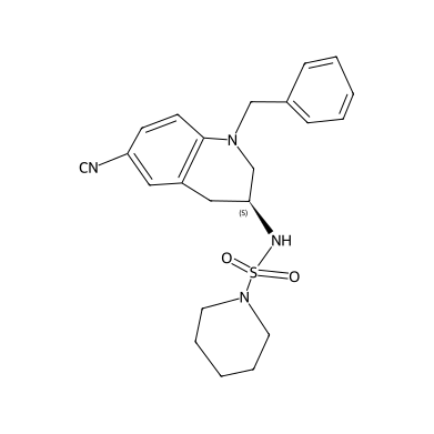 [C-]#[N+]c1ccc2c(c1)C[C@H](NS(=O)(=O)N1CCCCC1)CN2Cc1ccccc1